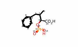 CC(Cc1ccccc1)[C@H](O[PH](=O)O)C(=O)O